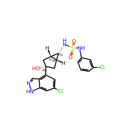 O=S(=O)(Nc1cccc(Cl)c1)N[C@@H]1[C@@H]2C[C@@](O)(c3cc(Cl)cc4[nH]ncc34)C[C@@H]21